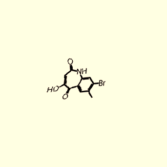 Cc1cc2c(=O)c(O)cc(=O)[nH]c2cc1Br